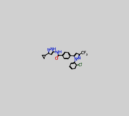 O=C(Nc1cc(C2CC2)n[nH]1)c1ccc(-c2cc(C(F)(F)F)nn2-c2ccccc2Cl)cc1